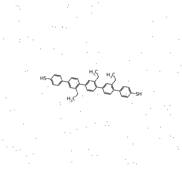 CCc1cc(-c2ccc(S)cc2)ccc1-c1ccc(-c2ccc(-c3ccc(S)cc3)c(CC)c2)c(CC)c1